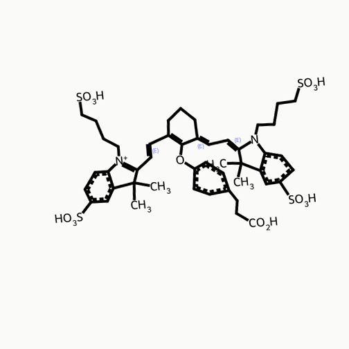 CC1(C)C(/C=C/C2=C(Oc3ccc(CCC(=O)O)cc3)C(=C/C=C3/N(CCCCS(=O)(=O)O)c4ccc(S(=O)(=O)O)cc4C3(C)C)/CCC2)=[N+](CCCCS(=O)(=O)O)c2ccc(S(=O)(=O)O)cc21